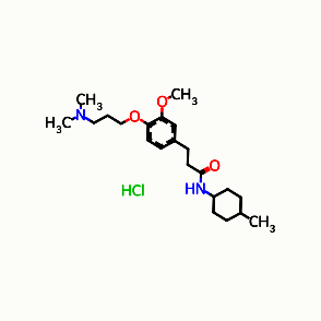 COc1cc(CCC(=O)NC2CCC(C)CC2)ccc1OCCCN(C)C.Cl